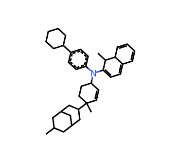 CC1CC2CC(C1)CC(C1(C)C=CC(N(C3=CC=C4C=CC=CC4C3C)c3ccc(C4CCCCC4)cc3)CC1)C2